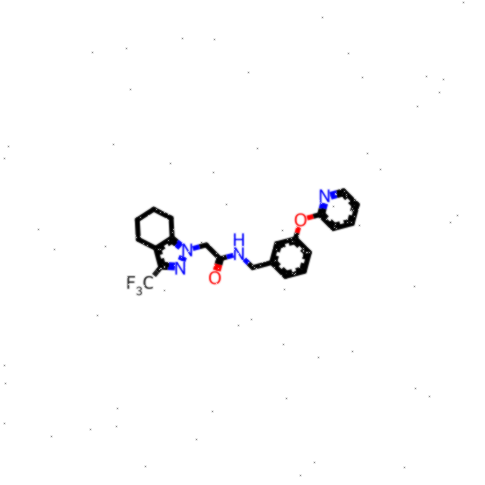 O=C(Cn1nc(C(F)(F)F)c2c1CCCC2)NCc1cccc(Oc2ccccn2)c1